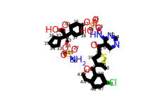 Cc1sc(C(=O)c2cncnc2NOP(=O)(O)Oc2ccc([C@](COS(N)(=O)=O)(C(=O)O)C3CCCC3)cc2)cc1[C@@H]1OCCc2ccc(Cl)cc21